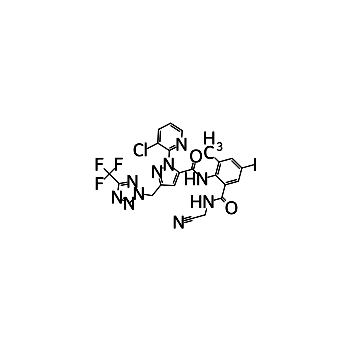 Cc1cc(I)cc(C(=O)NCC#N)c1NC(=O)c1cc(Cn2nnc(C(F)(F)F)n2)nn1-c1ncccc1Cl